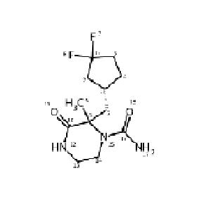 CC1(C[C@H]2CCC(F)(F)C2)C(=O)NCCN1C(N)=O